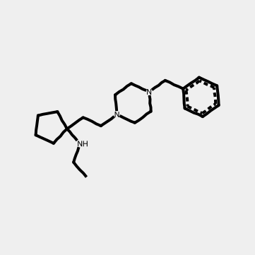 CCNC1(CCN2CCN(Cc3ccccc3)CC2)CCCC1